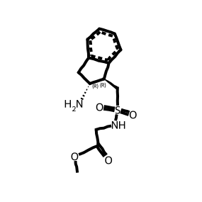 COC(=O)CNS(=O)(=O)C[C@@H]1c2ccccc2C[C@H]1N